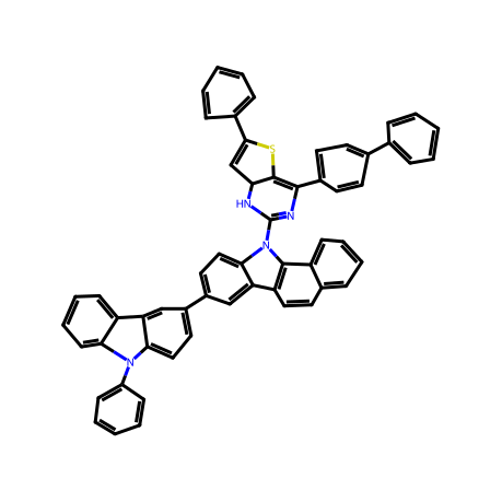 C1=C(c2ccccc2)SC2=C(c3ccc(-c4ccccc4)cc3)N=C(n3c4ccc(-c5ccc6c(c5)c5ccccc5n6-c5ccccc5)cc4c4ccc5ccccc5c43)NC12